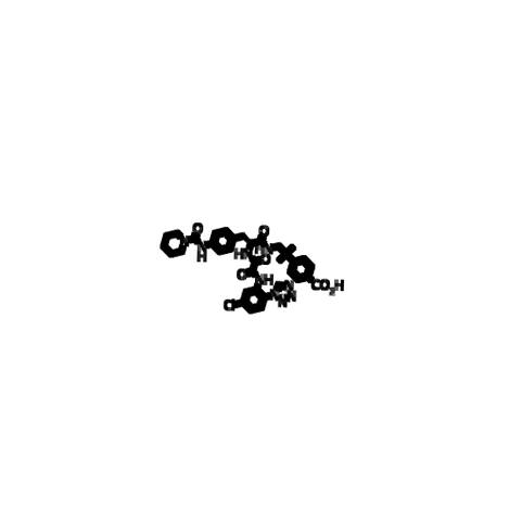 CC(C)(CNC(=O)[C@H](Cc1ccc(NC(=O)N2CCCCC2)cc1)NC(=O)C(=O)Nc1cc(Cl)ccc1-n1cnnn1)c1ccc(C(=O)O)cc1